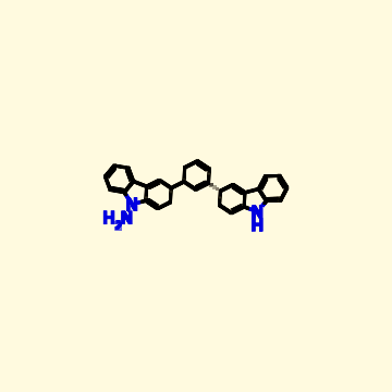 Nn1c2c(c3ccccc31)=CC(C1C=C([C@@H]3C=c4c([nH]c5ccccc45)=CC3)C=CC1)CC=2